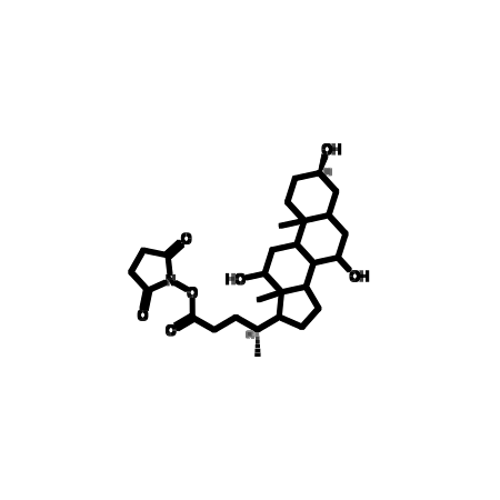 C[C@H](CCC(=O)ON1C(=O)CCC1=O)C1CCC2C3C(O)CC4C[C@H](O)CCC4(C)C3CC(O)C21C